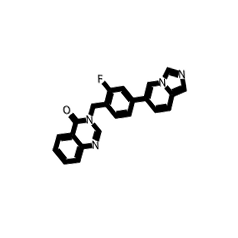 O=c1c2ccccc2ncn1Cc1ccc(-c2ccc3cncn3c2)cc1F